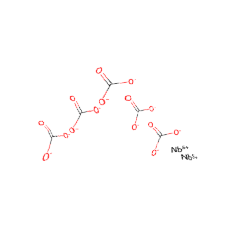 O=C([O-])[O-].O=C([O-])[O-].O=C([O-])[O-].O=C([O-])[O-].O=C([O-])[O-].[Nb+5].[Nb+5]